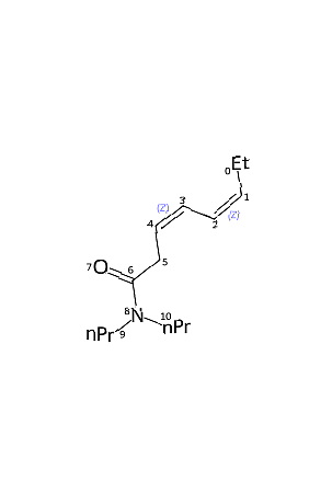 CC/C=C\C=C/CC(=O)N(CCC)CCC